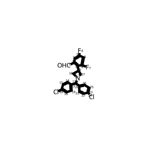 O=Cc1cc(F)cc(F)c1C1CN(C(c2ccc(Cl)cc2)c2ccc(Cl)cc2)C1